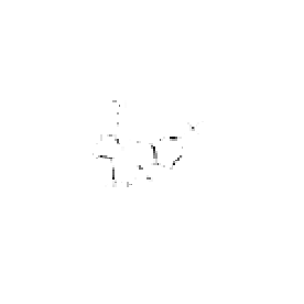 C[C@@H](c1noc(CO)n1)N(C)S(=O)(=O)c1ccc(C(F)(F)F)cc1Cl